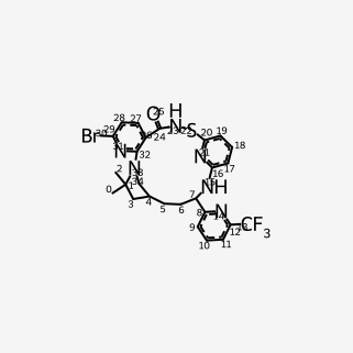 CC1(C)CC2CCC(c3cccc(C(F)(F)F)n3)Nc3cccc(n3)SNC(=O)c3ccc(Br)nc3N1C2